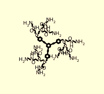 NCCNC(=O)CCN(CCC(=O)NCCN)CCN(CCC(=O)NCCN)Cc1ccc(C#Cc2cc(C#Cc3ccc(CN(CCC(=O)NCCN)CCN(CCC(=O)NCCN)CCC(=O)NCCN)cc3)cc(C#Cc3ccc(CN(CCC(=O)NCCN)CCN(CCC(=O)NCCN)CCC(=O)NCCN)cc3)c2)cc1